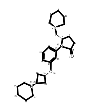 O=C1CC[C@@H](CN2CCCCC2)N1c1cccc(O[C@H]2C[C@H](N3CCCCC3)C2)c1